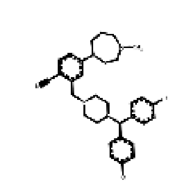 CN1CCCN(c2ccc(C#N)c(CN3CCN(C(c4ccc(Cl)cc4)c4ccc(Cl)cc4)CC3)c2)CC1